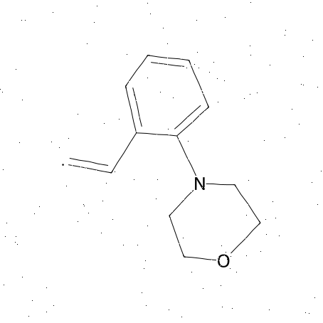 [CH]=Cc1ccccc1N1CCOCC1